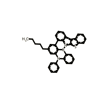 CCCCCc1cc2c3c(c1)N(c1ccccc1)c1ccccc1B3n1c3sc4ccccc4c3c3cccc-2c31